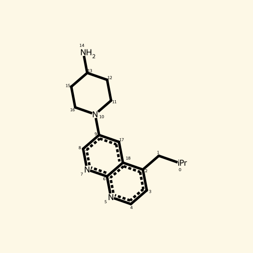 CC(C)Cc1ccnc2ncc(N3CCC(N)CC3)cc12